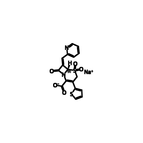 O=C([O-])C1=C(c2cccs2)CS(=O)(=O)[C@H]2C(=Cc3ccccn3)C(=O)N12.[Na+]